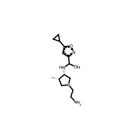 C[C@H]1CN(CCN)C[C@H]1NC(O)c1cc(C2CC2)on1